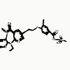 CCN1c2ncc(CCOc3ccc(C(=O)NS(C)(=O)=O)cc3C)cc2C(=O)N(C)c2cccnc21